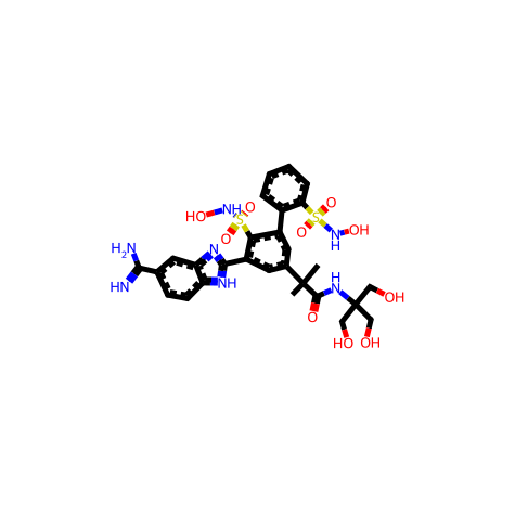 CC(C)(C(=O)NC(CO)(CO)CO)c1cc(-c2nc3cc(C(=N)N)ccc3[nH]2)c(S(=O)(=O)NO)c(-c2ccccc2S(=O)(=O)NO)c1